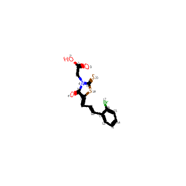 O=C(O)CN1C(=O)C(=CC=Cc2ccccc2Br)SC1=S